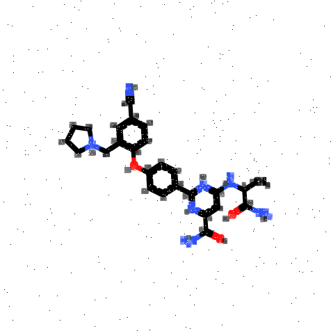 CC(Nc1cc(C(N)=O)nc(-c2ccc(Oc3ccc(C#N)cc3CN3CCCC3)cc2)n1)C(N)=O